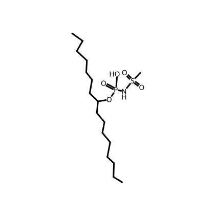 CCCCCCCCC(CCCCCCC)OP(=O)(O)NS(C)(=O)=O